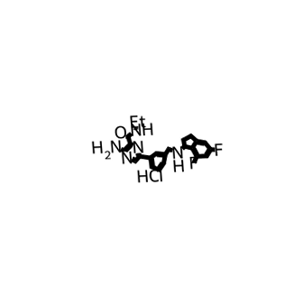 CCNC(=O)c1nc(-c2cccc(CNC3CCc4cc(F)cc(F)c43)c2)cnc1N.Cl